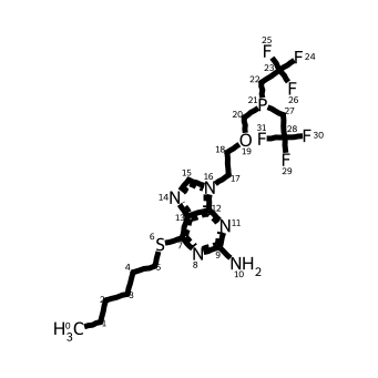 CCCCCCSc1nc(N)nc2c1ncn2CCOCP(CC(F)(F)F)CC(F)(F)F